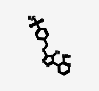 CCn1c(SCc2ccc(S(C)(=O)=O)cc2)nnc1-c1cccnc1SC